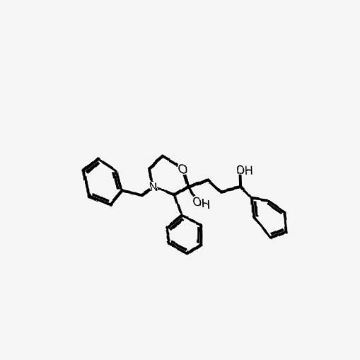 OC(CCC1(O)OCCN(Cc2ccccc2)C1c1ccccc1)c1ccccc1